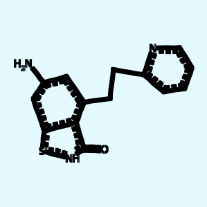 Nc1cc(CCc2ccccn2)c2c(=O)[nH]sc2c1